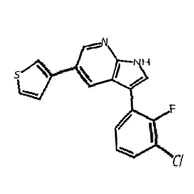 Fc1c(Cl)cccc1-c1c[nH]c2ncc(-c3ccsc3)cc12